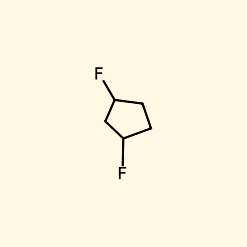 FC1CCC(F)C1